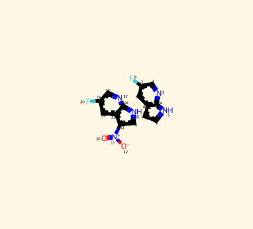 Fc1cnc2[nH]ccc2c1.O=[N+]([O-])c1c[nH]c2ncc(F)cc12